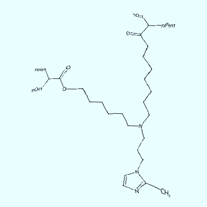 CCCCCCCCC(CCCCC)C(=O)CCCCCCCN(CCCCCCOC(=O)C(CCCCCC)CCCCCCCC)CCCn1ccnc1C